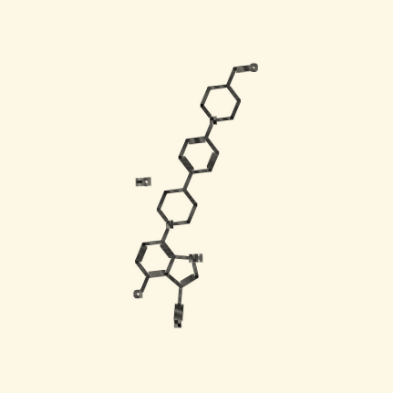 Cl.N#Cc1c[nH]c2c(N3CCC(c4ccc(N5CCC(C=O)CC5)cc4)CC3)ccc(Cl)c12